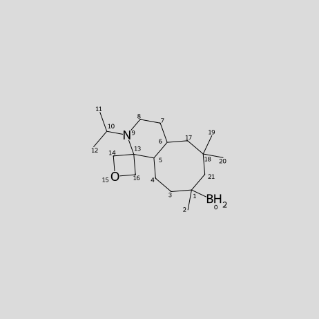 BC1(C)CCC2C(CCN(C(C)C)C23COC3)CC(C)(C)C1